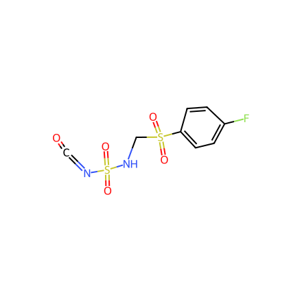 O=C=NS(=O)(=O)NCS(=O)(=O)c1ccc(F)cc1